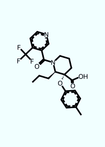 CCC[C@H]1N(C(=O)c2cnccc2C(F)(F)F)CCC[C@@]1(Oc1ccc(C)cc1)C(=O)O